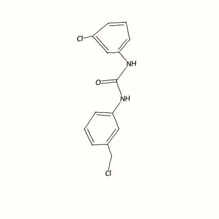 O=C(Nc1cccc(Cl)c1)Nc1cccc(CCl)c1